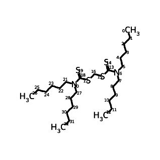 CCCCCCN(CCCCCC)C(=S)SCSC(=S)N(CCCCCC)CCCCCC